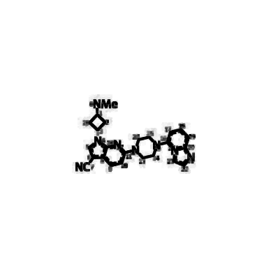 CN[C@H]1C[C@H](n2cc(C#N)c3ccc(N4CCN(c5cccc6nccn56)CC4)nc32)C1